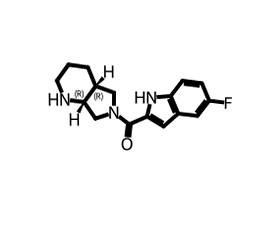 O=C(c1cc2cc(F)ccc2[nH]1)N1C[C@H]2CCCN[C@H]2C1